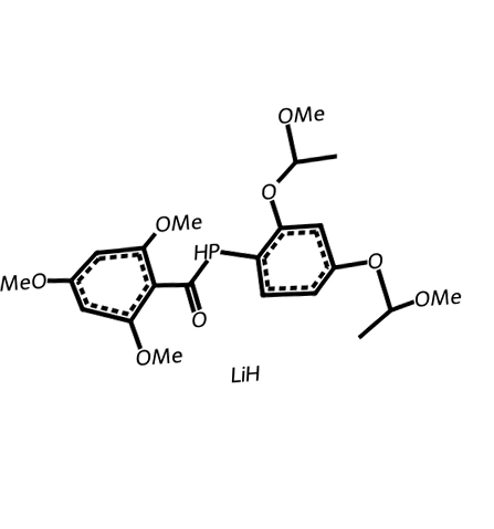 COc1cc(OC)c(C(=O)Pc2ccc(OC(C)OC)cc2OC(C)OC)c(OC)c1.[LiH]